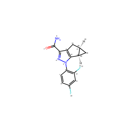 NC(=O)c1nn(-c2ccc(F)cc2F)c2c1C[C@H]1C[C@@H]21